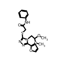 COC(Cn1c(SCC(=O)Nc2ccccc2)nnc1-c1ccco1)OC